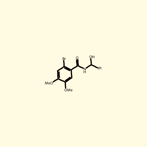 COc1cc(Br)c(C(=O)NC(O)C(C)C)cc1OC